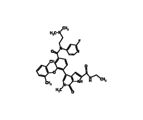 CCNC(=O)c1cc2c(-c3ccc(C(=O)N(CCN(C)C)c4ccnc(F)c4)cc3Oc3c(C)cccc3C)cn(C)c(=O)c2[nH]1